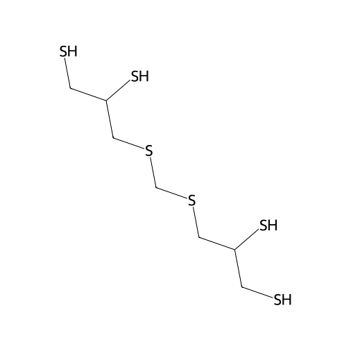 SCC(S)CSCSCC(S)CS